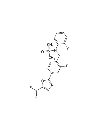 C[SH](C)(=O)N(Cc1ccc(-c2nnc(C(F)F)o2)cc1F)c1ccccc1Cl